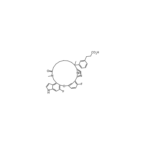 CN1Cc2c(c(F)cc3[nH]ccc23)Oc2ccc(F)c(c2)-c2ncc([nH]2)C(C)(c2cccc(CCC(=O)O)c2)CCCCCCC1=O